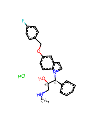 CNC[C@@H](O)[C@H](c1ccccc1)n1ccc2cc(OCc3ccc(F)cc3)ccc21.Cl